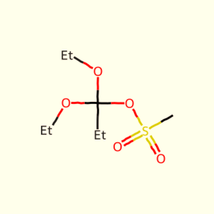 CCOC(CC)(OCC)OS(C)(=O)=O